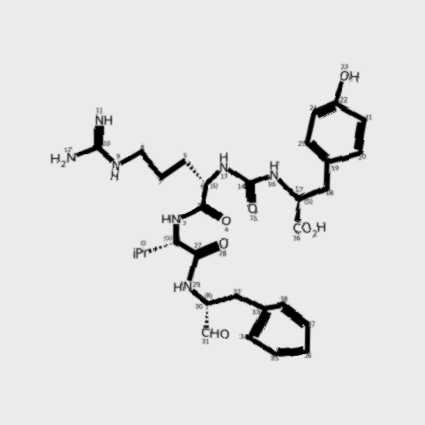 CC(C)[C@H](NC(=O)[C@H](CCCNC(=N)N)NC(=O)N[C@@H](Cc1ccc(O)cc1)C(=O)O)C(=O)N[C@@H](C=O)Cc1ccccc1